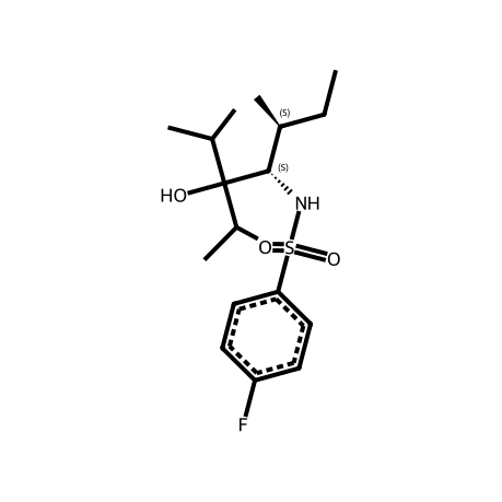 CC[C@H](C)[C@H](NS(=O)(=O)c1ccc(F)cc1)C(O)(C(C)C)C(C)C